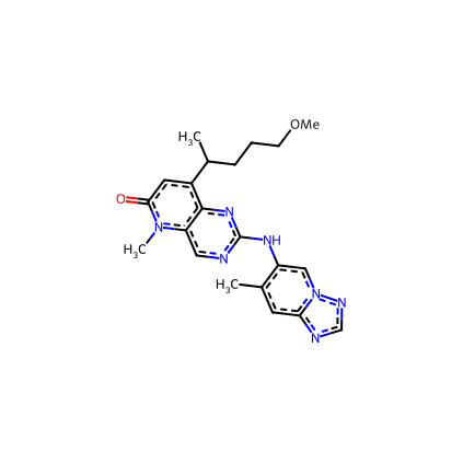 COCCCC(C)c1cc(=O)n(C)c2cnc(Nc3cn4ncnc4cc3C)nc12